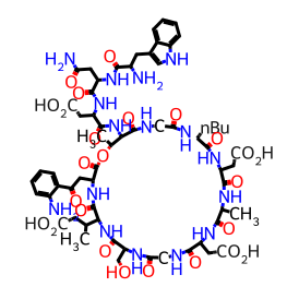 CCCCC1NC(=O)CNC(=O)C(NC(=O)C(CC(=O)O)NC(=O)C(CC(N)=O)NC(=O)C(N)Cc2c[nH]c3ccccc23)C(C)OC(=O)C(CC(=O)c2ccccc2N)NC(=O)C(C(C)CC(=O)O)NC(=O)C(CO)NC(=O)CNC(=O)C(CC(=O)O)NC(=O)C(C)NC(=O)C(CC(=O)O)NC1=O